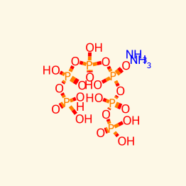 N.N.O=P(O)(O)OP(=O)(O)OP(=O)(O)OP(=O)(O)OP(=O)(O)OP(=O)(O)O